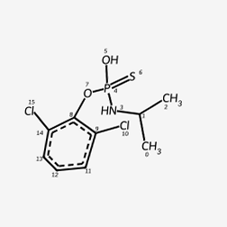 CC(C)NP(O)(=S)Oc1c(Cl)cccc1Cl